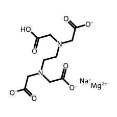 O=C([O-])CN(CCN(CC(=O)[O-])CC(=O)O)CC(=O)[O-].[Mg+2].[Na+]